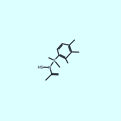 C=C(C)N(S)S(C)(C)c1ccc(C)c(C)c1C